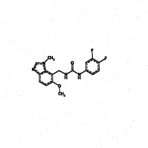 COc1ccc2ncn(C)c2c1CNC(=O)Nc1ccc(F)c(F)c1